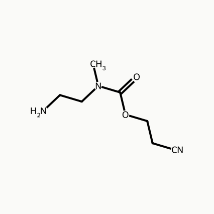 CN(CCN)C(=O)OCCC#N